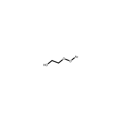 CC(=O)OOCCO